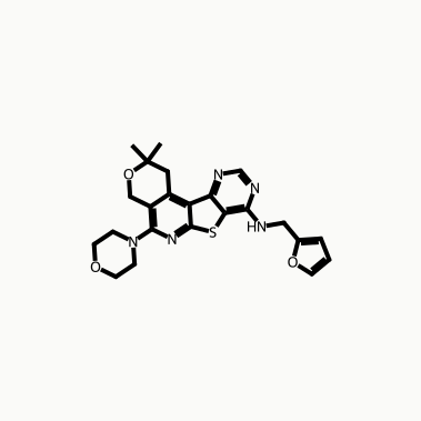 CC1(C)Cc2c(c(N3CCOCC3)nc3sc4c(NCc5ccco5)ncnc4c23)CO1